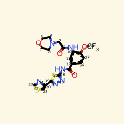 O=C(CN1CCOCC1)Nc1cc(C(=O)Nc2nnc(-c3cscn3)s2)ccc1OC(F)(F)F